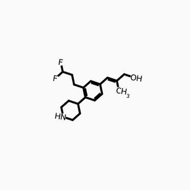 C/C(=C\c1ccc(C2CCNCC2)c(CCC(F)F)c1)CO